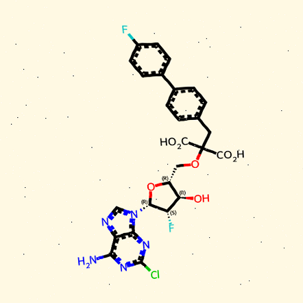 Nc1nc(Cl)nc2c1ncn2[C@@H]1O[C@H](COC(Cc2ccc(-c3ccc(F)cc3)cc2)(C(=O)O)C(=O)O)[C@@H](O)[C@@H]1F